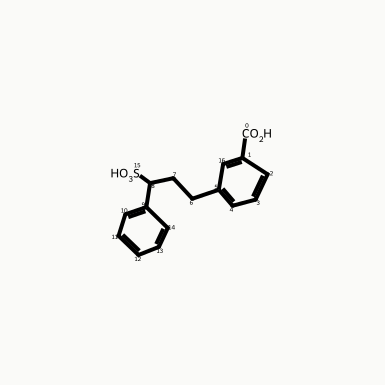 O=C(O)c1cccc(CCC(c2ccccc2)S(=O)(=O)O)c1